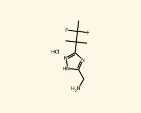 CC(F)(F)C(C)(C)c1n[nH]c(CN)n1.Cl